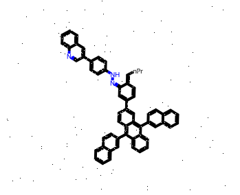 CCC/C=C1\C=CC(c2ccc3c(-c4ccc5ccccc5c4)c4ccccc4c(-c4ccc5ccccc5c4)c3c2)=C\C1=N\Nc1ccc(-c2cnc3ccccc3c2)cc1